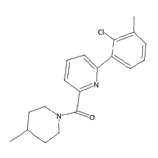 Cc1cccc(-c2cccc(C(=O)N3CCC(C)CC3)n2)c1Cl